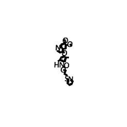 COc1cc2nccc(Oc3cc(C)c(NC(=O)OCCCSc4ccccn4)cc3C)c2cc1OC